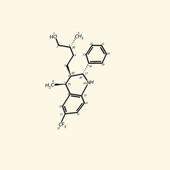 C[C@@H](CO)CC[C@@H]1[C@H](C)c2cc(C(F)(F)F)ccc2N[C@H]1c1ccccc1